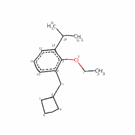 CCOc1c(CC2CCC2)cccc1C(C)C